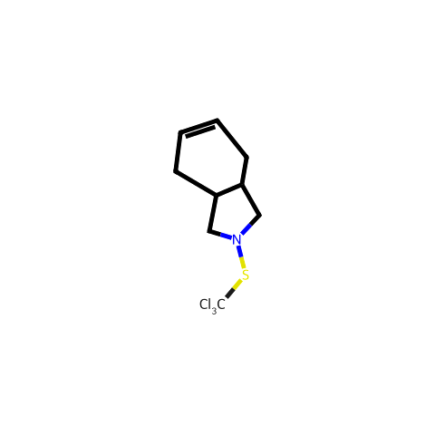 ClC(Cl)(Cl)SN1CC2CC=CCC2C1